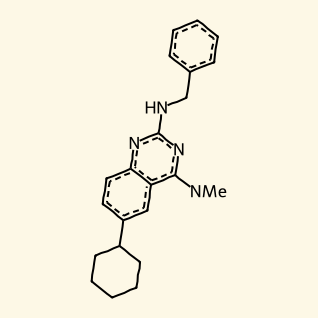 CNc1nc(NCc2ccccc2)nc2ccc(C3CCCCC3)cc12